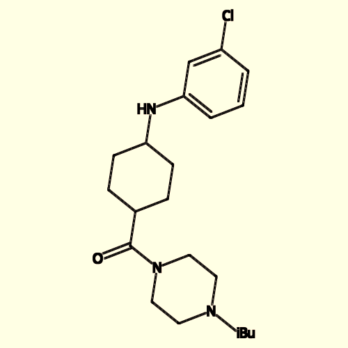 CCC(C)N1CCN(C(=O)C2CCC(Nc3cccc(Cl)c3)CC2)CC1